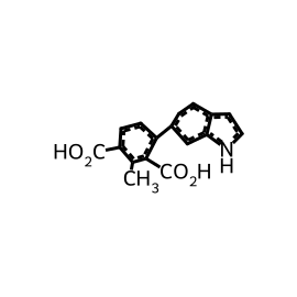 Cc1c(C(=O)O)ccc(-c2ccc3cc[nH]c3c2)c1C(=O)O